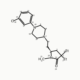 CCC1(CC)C[C@H](CCN2CCN(c3cccc(Cl)c3)CC2)N(C)C1=O